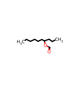 CCCCCCC(CCC)OC=O